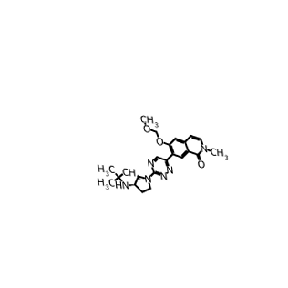 COCOc1cc2ccn(C)c(=O)c2cc1-c1cnc(N2CC[C@@H](NC(C)(C)C)C2)nn1